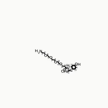 NCCOCCOCCOCCOCCC(=O)N[C@H](C=O)Cc1ccc(O)cc1